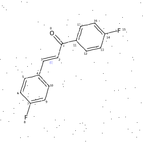 O=C(/C=C/c1ccc(F)cc1)c1ccc(F)cc1